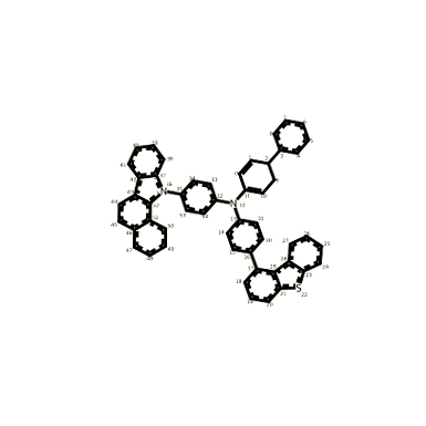 C1=CC(c2ccccc2)CC=C1N(c1ccc(-c2cccc3sc4ccccc4c23)cc1)c1ccc(-n2c3ccccc3c3ccc4ccccc4c32)cc1